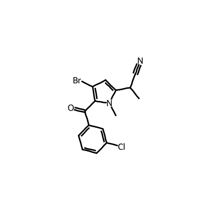 CC(C#N)c1cc(Br)c(C(=O)c2cccc(Cl)c2)n1C